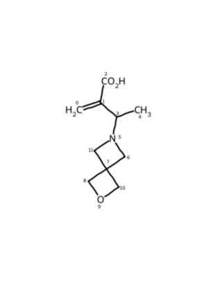 C=C(C(=O)O)C(C)N1CC2(COC2)C1